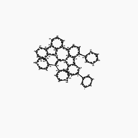 c1ccc(-c2cnc3c(n2)c2c(-c4cnccn4)ccc4c5cccc6c7nccnc7n(c(=C(c7ccncc7)c7ccncc7)n3c42)c56)cc1